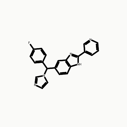 Fc1ccc(C(c2ccc3[nH]c(-c4cccnc4)nc3c2)n2ccnc2)cc1